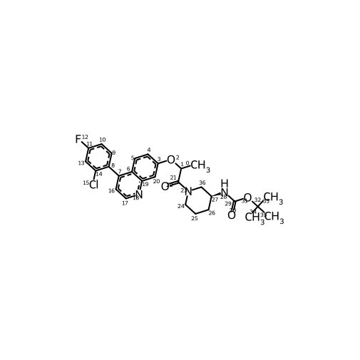 CC(Oc1ccc2c(-c3ccc(F)cc3Cl)ccnc2c1)C(=O)N1CCC[C@H](NC(=O)OC(C)(C)C)C1